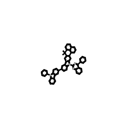 CC1(C)c2cc3c4cc(-c5ccc6c(c5)c5ccccc5n6-c5ccccc5)ccc4n(-c4nc(-c5ccccc5)c5ccccc5n4)c3cc2-c2cccc3cccc1c23